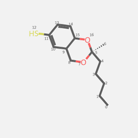 CCCCC[C@@]1(C)OCC2C=C(S)C=CC2O1